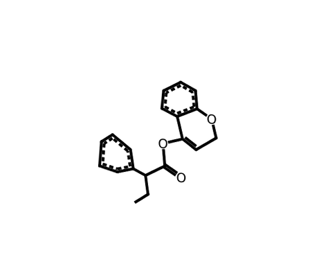 CCC(C(=O)OC1=CCOc2ccccc21)c1ccccc1